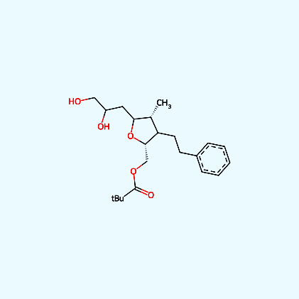 C[C@H]1C(CC(O)CO)O[C@@H](COC(=O)C(C)(C)C)C1CCc1ccccc1